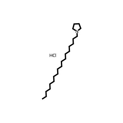 CCCCCCCCCCCCCCCCCCN1CCCC1.Cl